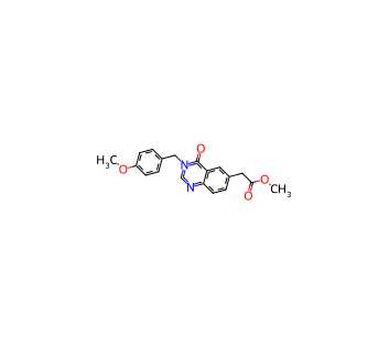 COC(=O)Cc1ccc2ncn(Cc3ccc(OC)cc3)c(=O)c2c1